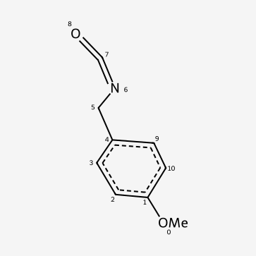 COc1ccc(CN=C=O)cc1